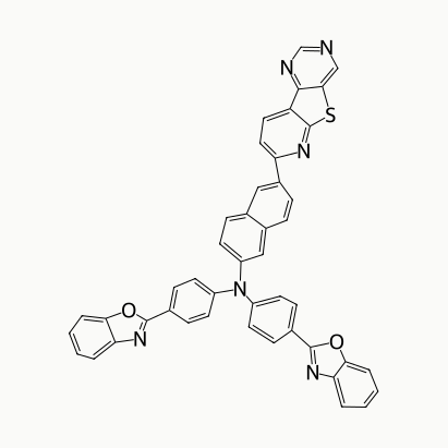 c1ccc2oc(-c3ccc(N(c4ccc(-c5nc6ccccc6o5)cc4)c4ccc5cc(-c6ccc7c(n6)sc6cncnc67)ccc5c4)cc3)nc2c1